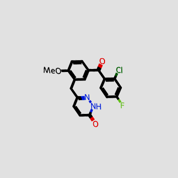 COc1ccc(C(=O)c2ccc(F)cc2Cl)cc1Cc1ccc(=O)[nH]n1